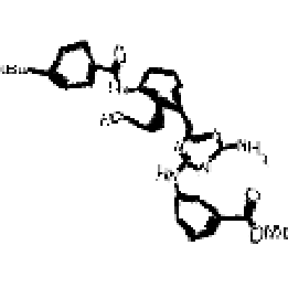 COC(=O)c1cccc(Nc2nc(N)nc(-c3cccc(NC(=O)c4ccc(C(C)(C)C)cc4)c3CO)n2)c1